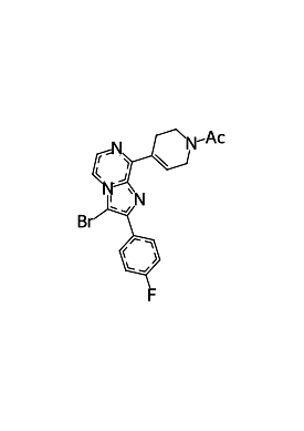 CC(=O)N1CC=C(c2nccn3c(Br)c(-c4ccc(F)cc4)nc23)CC1